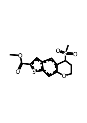 COC(=O)c1cc2cc3c(cc2s1)OCCC3S(C)(=O)=O